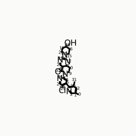 Cc1cnc(-c2cc(N3CCC4N=C(N5CCC(O)CC5)N=CC4C3=O)ncc2Cl)c(C)c1